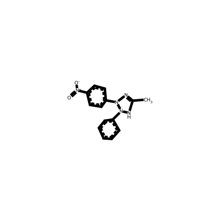 CC1=NN(c2ccc([N+](=O)[O-])cc2)N(c2ccccc2)N1